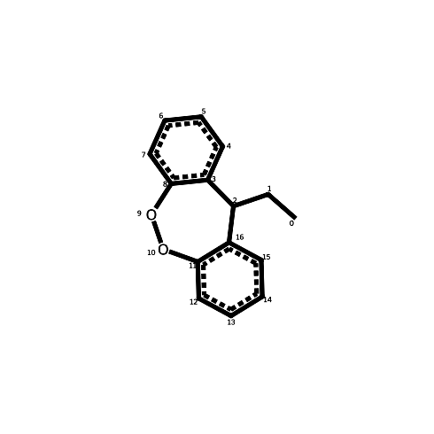 CCC1c2ccccc2OOc2ccccc21